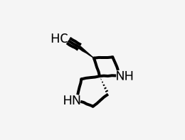 C#C[C@H]1CN[C@]12CCNC2